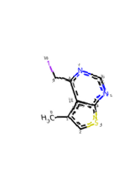 Cc1csc2ncnc(CI)c12